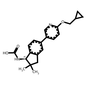 CC1(C)Cc2cc(-c3ccc(OCC4CC4)nc3)ccc2[C@@H]1NC(=O)O